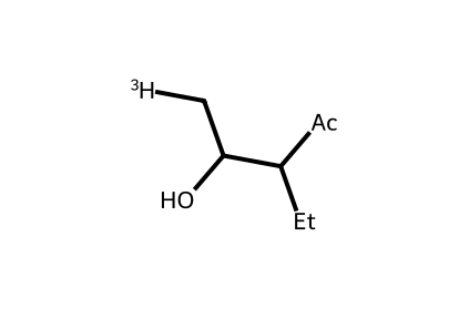 [3H]CC(O)C(CC)C(C)=O